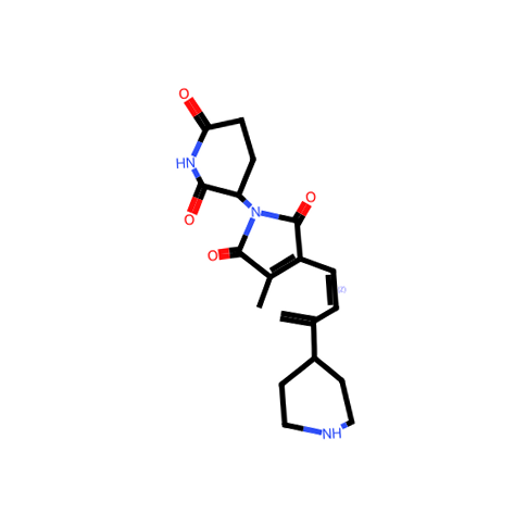 C=C(/C=C\C1=C(C)C(=O)N(C2CCC(=O)NC2=O)C1=O)C1CCNCC1